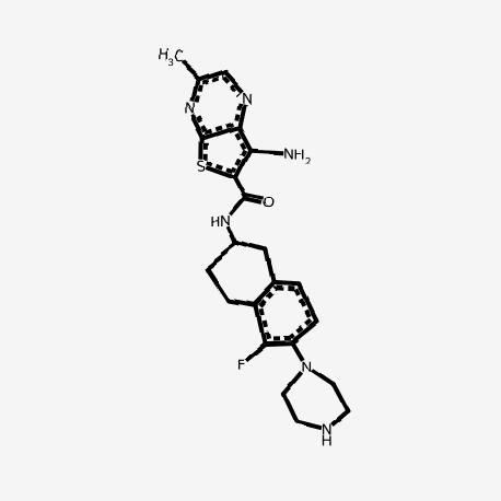 Cc1cnc2c(N)c(C(=O)NC3CCc4c(ccc(N5CCNCC5)c4F)C3)sc2n1